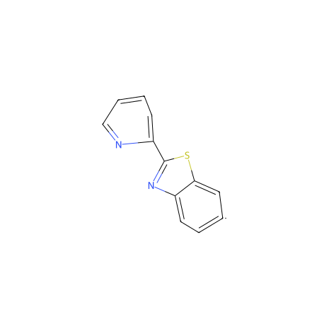 [c]1ccc2nc(-c3ccccn3)sc2c1